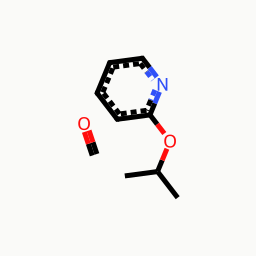 C=O.CC(C)Oc1ccccn1